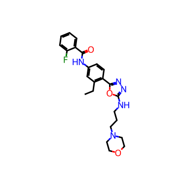 CCc1cc(NC(=O)c2ccccc2F)ccc1-c1nnc(NCCCN2CCOCC2)o1